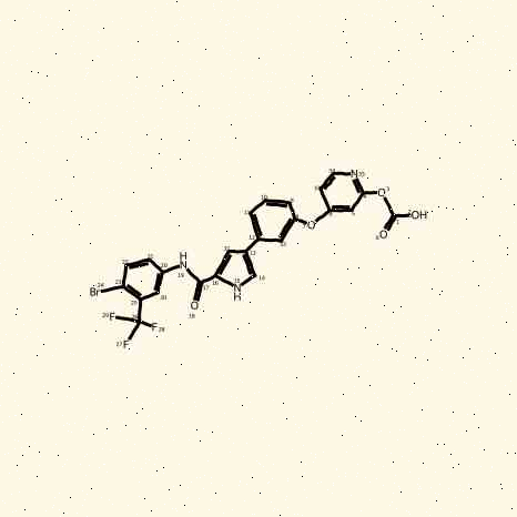 O=C(O)Oc1cc(Oc2cccc(-c3c[nH]c(C(=O)Nc4ccc(Br)c(C(F)(F)F)c4)c3)c2)ccn1